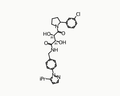 CC(C)c1ccnn1-c1ccc(CNC(=O)[C@H](O)[C@@H](O)C(=O)N2CCCC2c2cccc(Cl)c2)cc1